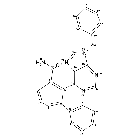 NC(=O)c1cccc(-c2ccccc2)c1-c1ncnc2c1ncn2Cc1ccccc1